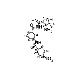 CC1(C)NCC(C(=N)NC(=O)c2cccc(NC(=O)c3ccc([N+](=O)[O-])cc3)c2)=C1N